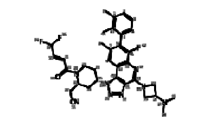 Cc1cccc(-c2c(C)cc3c(nc(N4CC(N(C)C)C4)c4nnn([C@H]5CCN(C(=O)/C=C/C(F)F)[C@H](CC#N)C5)c43)c2F)c1C